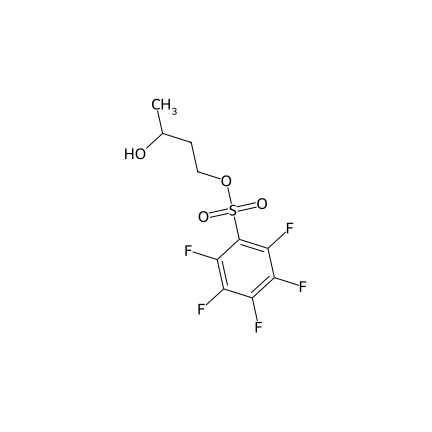 CC(O)CCOS(=O)(=O)c1c(F)c(F)c(F)c(F)c1F